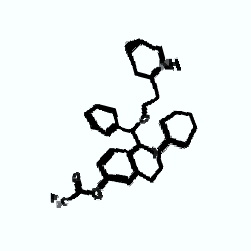 O=C(Oc1ccc2c(c1)CCN(C1CCCCC1)C2C(OCCC1CCCCN1)c1ccccc1)C(F)(F)F